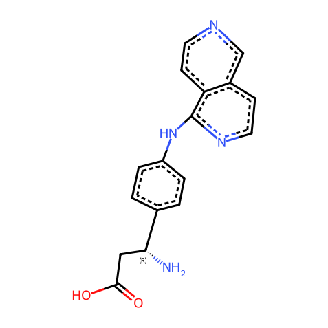 N[C@H](CC(=O)O)c1ccc(Nc2nccc3cnccc23)cc1